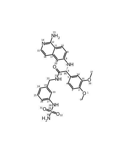 COc1ccc([C@@H](Nc2ccc3c(N)nccc3c2)C(=O)NCc2cccc(NS(N)(=O)=O)c2)cc1OC